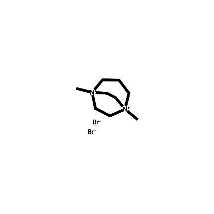 C[N+]12CCC[N+](C)(CC1)CC2.[Br-].[Br-]